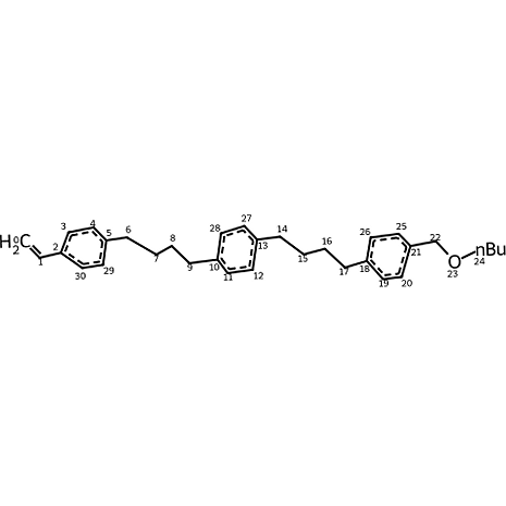 C=Cc1ccc(CCCCc2ccc(CCCCc3ccc(COCCCC)cc3)cc2)cc1